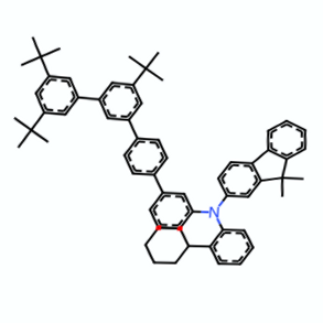 CC(C)(C)c1cc(-c2ccc(-c3cccc(N(c4ccc5c(c4)C(C)(C)c4ccccc4-5)c4ccccc4C4CCCCC4)c3)cc2)cc(-c2cc(C(C)(C)C)cc(C(C)(C)C)c2)c1